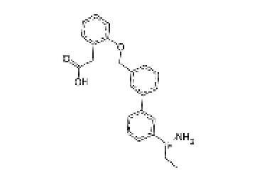 CC[C@@H](N)c1cccc(-c2cccc(COc3ccccc3CC(=O)O)c2)c1